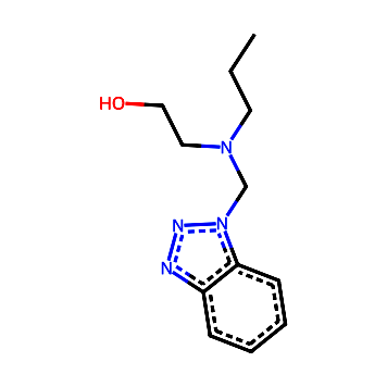 CCCN(CCO)Cn1nnc2ccccc21